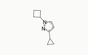 c1cn(C2CCC2)nc1C1CC1